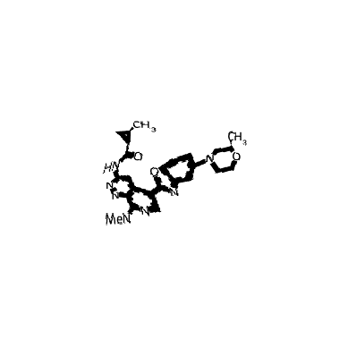 CNc1ncc(-c2nc3cc(N4CCO[C@@H](C)C4)ccc3o2)c2cc(NC(=O)[C@H]3C[C@H]3C)nnc12